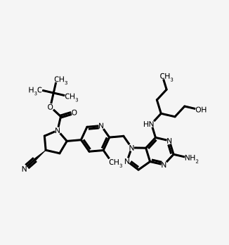 CCCC(CCO)Nc1nc(N)nc2cnn(Cc3ncc(C4C[C@@H](C#N)CN4C(=O)OC(C)(C)C)cc3C)c12